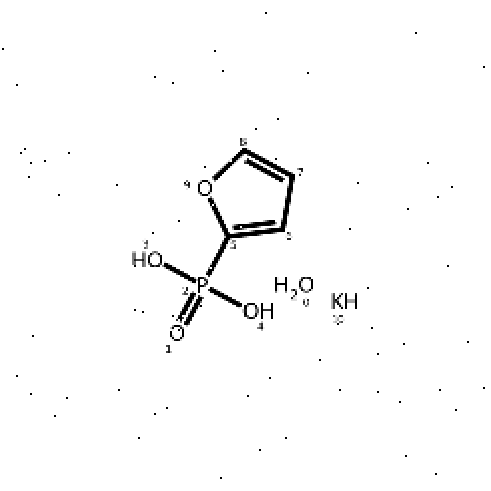 O.O=P(O)(O)c1ccco1.[KH]